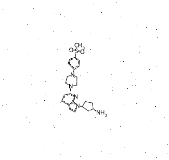 CS(=O)(=O)c1ccc(N2CCN(c3ccc4ccn([C@H]5CC[C@@H](N)C5)c4n3)CC2)cc1